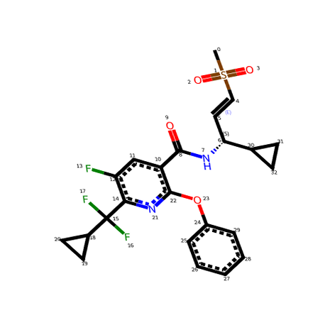 CS(=O)(=O)/C=C/[C@@H](NC(=O)c1cc(F)c(C(F)(F)C2CC2)nc1Oc1ccccc1)C1CC1